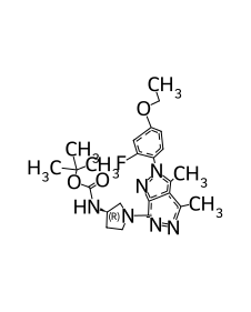 CCOc1ccc(-n2nc3c(N4CC[C@@H](NC(=O)OC(C)(C)C)C4)nnc(C)c3c2C)c(F)c1